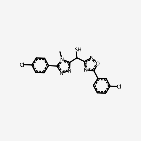 Cn1c(-c2ccc(Cl)cc2)nnc1C(S)c1noc(-c2cccc(Cl)c2)n1